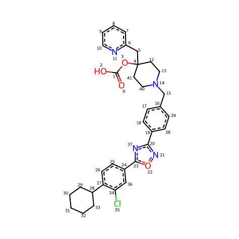 O=C(O)OC1(Cc2ccccn2)CCN(Cc2ccc(-c3noc(-c4ccc(C5CCCCC5)c(Cl)c4)n3)cc2)CC1